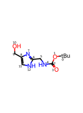 CC(C)(C)OC(=O)NCc1nc(CO)c[nH]1